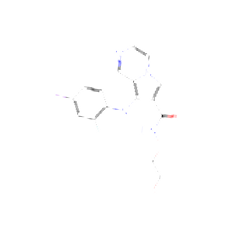 O=C(NOCCO)c1cn2ccncc2c1Nc1ccc(I)cc1F